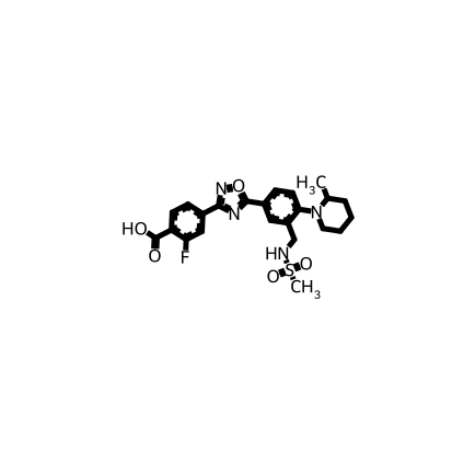 CC1CCCCN1c1ccc(-c2nc(-c3ccc(C(=O)O)c(F)c3)no2)cc1CNS(C)(=O)=O